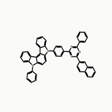 c1ccc(-c2nc(-c3ccc(-n4c5ccccc5c5c6c7ccccc7n(-c7ccccc7)c6ccc54)cc3)nc(-c3ccc4ccccc4c3)n2)cc1